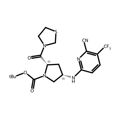 CC(C)(C)OC(=O)N1C[C@@H](Nc2ccc(C(F)(F)F)c(C#N)n2)C[C@H]1C(=O)N1CCSC1